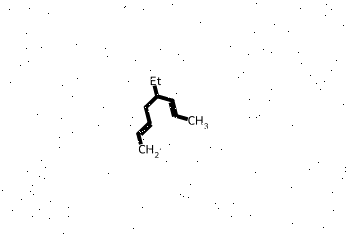 [CH2]C=CCC(C=CC)CC